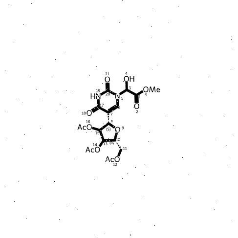 COC(=O)C(O)n1cc([C@@H]2O[C@H](COC(C)=O)C(OC(C)=O)C2OC(C)=O)c(=O)[nH]c1=O